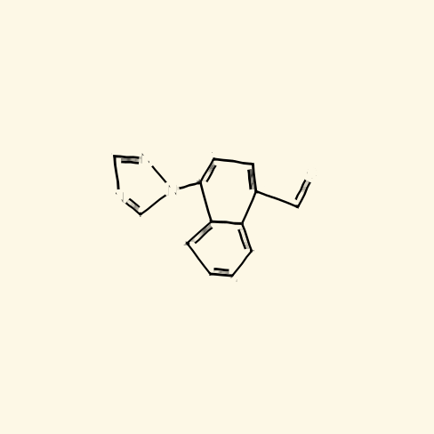 O=Cc1ccc(-n2cncn2)c2ccccc12